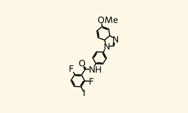 COC1=CC2N=CN(c3ccc(NC(=O)c4c(F)ccc(I)c4F)cc3)C2C=C1